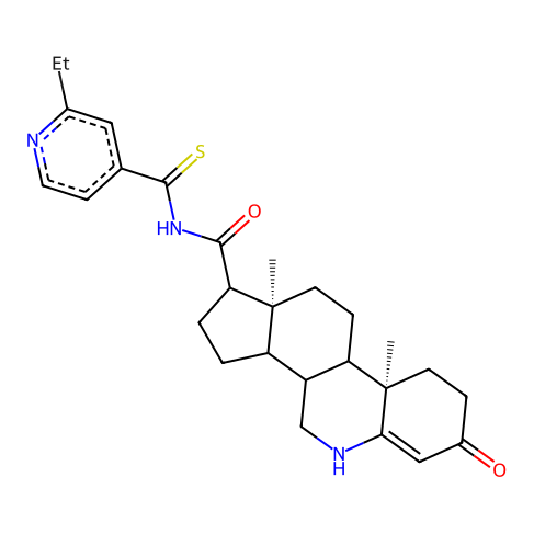 CCc1cc(C(=S)NC(=O)C2CCC3C4CNC5=CC(=O)CC[C@]5(C)C4CC[C@]23C)ccn1